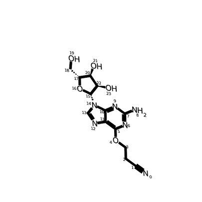 N#CCCOc1nc(N)nc2c1ncn2[C@@H]1O[C@H](CO)[C@@H](O)[C@H]1O